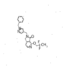 CC(F)(F)COc1nccc2c1C(=O)N(Cc1cnn(Cc3ccccc3)c1)C2